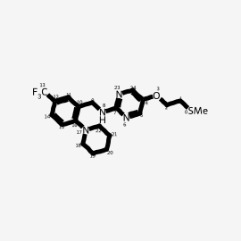 CSCCOc1cnc(NCc2cc(C(F)(F)F)ccc2N2CCCCC2)nc1